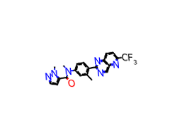 Cc1cc(N(C)C(=O)c2ccnn2C)ccc1-c1ncc2nc(C(F)(F)F)ccc2n1